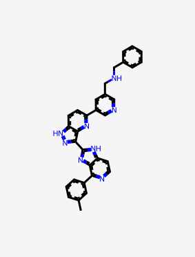 Cc1cccc(-c2nccc3[nH]c(-c4n[nH]c5ccc(-c6cncc(CNCc7ccccc7)c6)nc45)nc23)c1